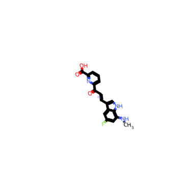 CNc1cc(F)cc2c(/C=C/C(=O)c3cccc(C(=O)O)n3)c[nH]c12